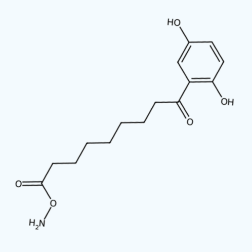 NOC(=O)CCCCCCCC(=O)c1cc(O)ccc1O